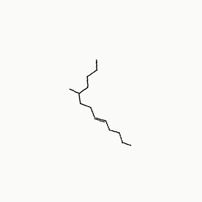 CCCCC=CCCC(C)CCCC